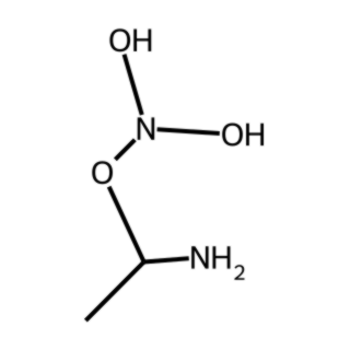 CC(N)ON(O)O